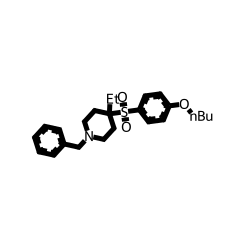 [CH2]CC1(S(=O)(=O)c2ccc(OCCCC)cc2)CCN(Cc2ccccc2)CC1